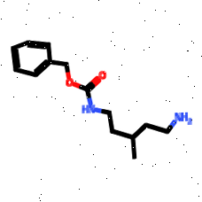 CC(CCN)CCNC(=O)OCc1ccccc1